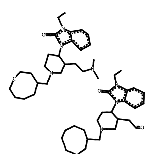 CCn1c(=O)n(C2CCN(CC3CCCCCCC3)CC2CC=O)c2ccccc21.CCn1c(=O)n(C2CCN(CC3CCCCCCC3)CC2CCN(C)C)c2ccccc21